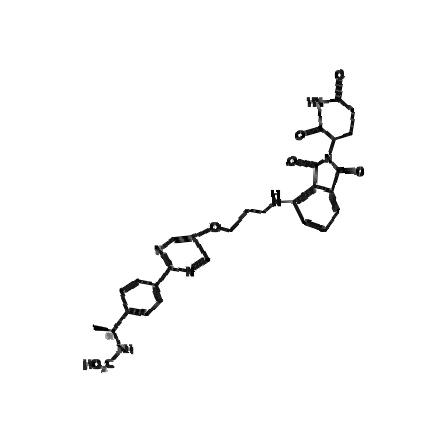 C[C@H](NC(=O)O)c1ccc(-c2ncc(OCCCNc3cccc4c3C(=O)N(C3CCC(=O)NC3=O)C4=O)cn2)cc1